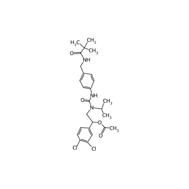 CC(=O)OC(CN(C(=O)Nc1ccc(CNC(=O)C(C)(C)C)cc1)C(C)C)c1ccc(Cl)c(Cl)c1